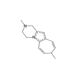 CC1C=Cc2cc3n(c2C=C1)CCN(C)C3